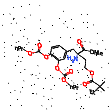 CCCOC(=O)Oc1ccc(C[C@](N)(CCOC(=O)C(C)(C)CC)C(=O)OC)cc1OC(=O)OCCC